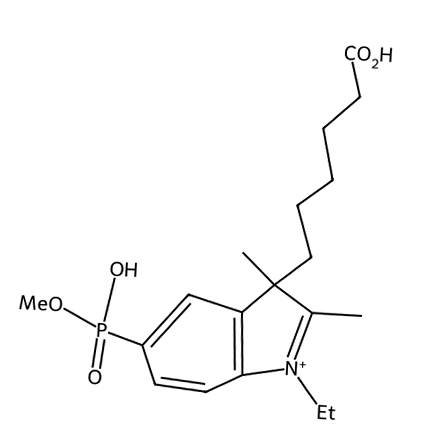 CC[N+]1=C(C)C(C)(CCCCCC(=O)O)c2cc(P(=O)(O)OC)ccc21